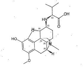 COc1cc(O)c2c3c1C[C@@H]1[C@@H]4CC[C@H](N[C@H](C(=O)O)C(C)C)[C@H](O2)[C@]34CCN1C